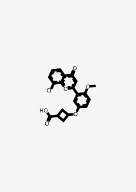 COc1ccc(OC2CC(C(=O)O)C2)cc1-c1cc(=O)c2cccc(Cl)c2o1